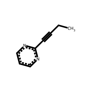 CCC#Cc1ncccn1